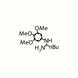 CCCCC(N)Nc1cc(OC)c(OC)c(OC)c1